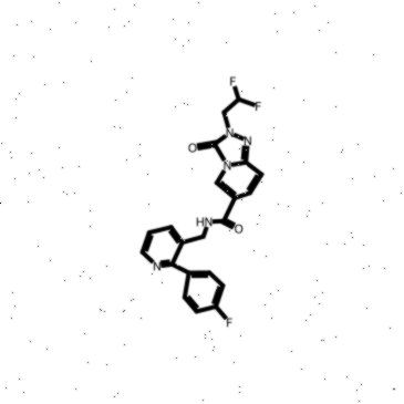 O=C(NCc1cccnc1-c1ccc(F)cc1)c1ccc2nn(CC(F)F)c(=O)n2c1